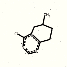 CC1CCc2ncnc(Cl)c2C1